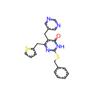 O=c1[nH]c(SCc2ccccc2)nc(Cc2cccs2)c1Cc1cncnc1